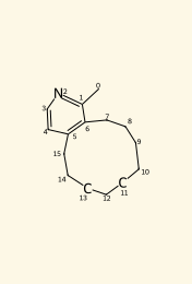 Cc1nccc2c1CCCCCCCCC2